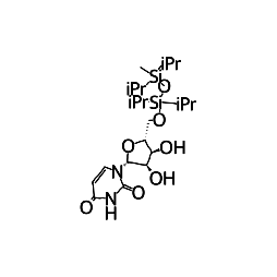 CC(C)[Si](C)(O[Si](OC[C@H]1O[C@@H](n2ccc(=O)[nH]c2=O)[C@H](O)[C@@H]1O)(C(C)C)C(C)C)C(C)C